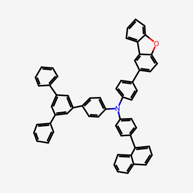 c1ccc(-c2cc(-c3ccccc3)cc(-c3ccc(N(c4ccc(-c5ccc6oc7ccccc7c6c5)cc4)c4ccc(-c5cccc6ccccc56)cc4)cc3)c2)cc1